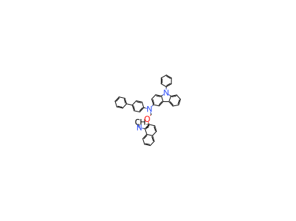 C=Nc1c(OCN(c2ccc(-c3ccccc3)cc2)c2ccc3c(c2)c2ccccc2n3-c2ccccc2)ccc2ccccc12